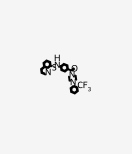 O=C(c1ccc(NSc2cccc3cccnc23)cc1)N1CCN(c2ccccc2C(F)(F)F)CC1